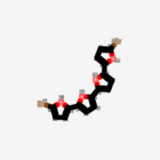 Brc1ccc(-c2ccc(-c3ccc(-c4ccc(Br)o4)o3)o2)o1